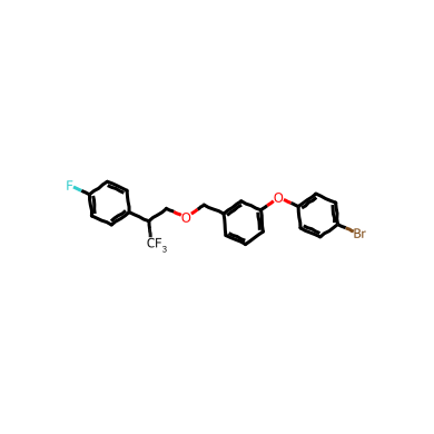 Fc1ccc(C(COCc2cccc(Oc3ccc(Br)cc3)c2)C(F)(F)F)cc1